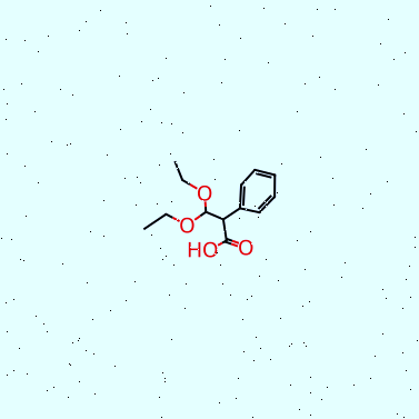 CCOC(OCC)C(C(=O)O)c1ccccc1